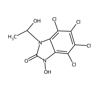 CC(O)n1c(=O)n(O)c2c(Cl)c(Cl)c(Cl)c(Cl)c21